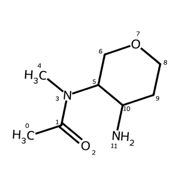 CC(=O)N(C)C1COCCC1N